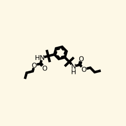 CCCOC(=O)NC(C)(C)c1cccc(C(C)(C)NC(=O)OCCC)c1